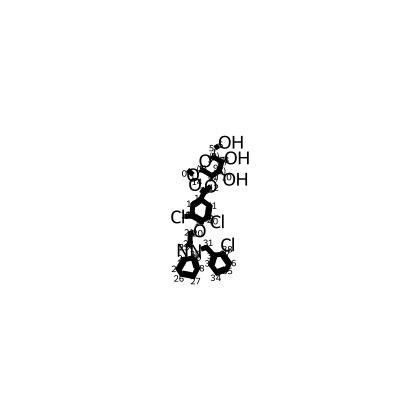 CO[C@H]1O[C@H](CO)[C@@H](O)[C@H](O)[C@H]1OC(=O)c1cc(Cl)c(OCc2nc3ccccc3n2Cc2ccccc2Cl)c(Cl)c1